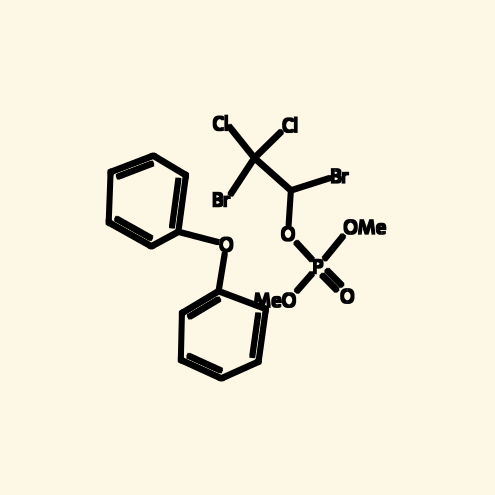 COP(=O)(OC)OC(Br)C(Cl)(Cl)Br.c1ccc(Oc2ccccc2)cc1